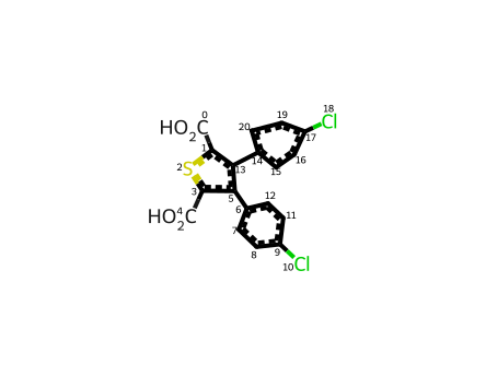 O=C(O)c1sc(C(=O)O)c(-c2ccc(Cl)cc2)c1-c1ccc(Cl)cc1